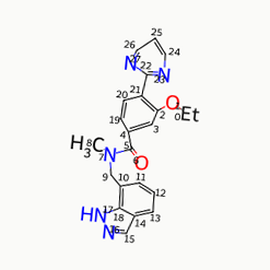 CCOc1cc(C(=O)N(C)Cc2cccc3cn[nH]c23)ccc1-c1ncccn1